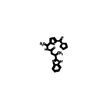 CC(CC(=O)NC(C)c1ccc(C(=O)N2CCCC2)s1)c1nc2ccccc2[nH]1